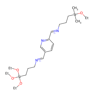 CCO[Si](C)(C)CCC/N=C/c1ccc(/C=N/CCC[Si](OCC)(OCC)OCC)cn1